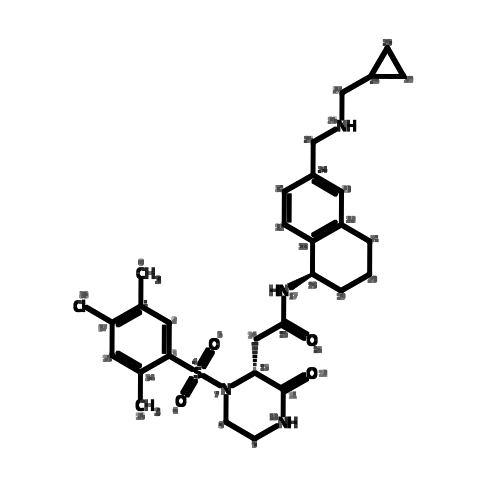 Cc1cc(S(=O)(=O)N2CCNC(=O)[C@H]2CC(=O)N[C@@H]2CCCc3cc(CNCC4CC4)ccc32)c(C)cc1Cl